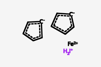 [Fe+2].[IH2+].c1cc[cH-]c1.c1cc[cH-]c1